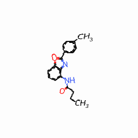 CCCC(=O)Nc1cccc2oc(-c3ccc(C)cc3)nc12